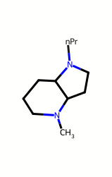 CCCN1CCC2C1CCCN2C